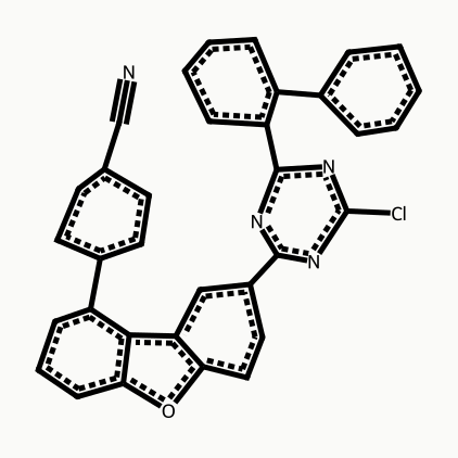 N#Cc1ccc(-c2cccc3oc4ccc(-c5nc(Cl)nc(-c6ccccc6-c6ccccc6)n5)cc4c23)cc1